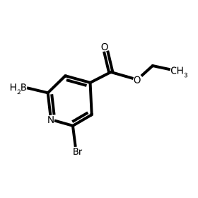 Bc1cc(C(=O)OCC)cc(Br)n1